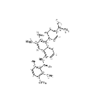 COc1ccc(Br)c(C(=O)Nc2cccc3c(-c4ccc(N(C)C)cc4)c(OC)c(OC)cc23)c1OC